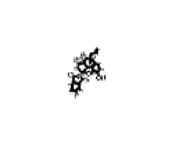 C=CCN1CC[C@]23c4c5ccc(O)c4O[C@H]2[C@H](N2C(=O)c4ccc(F)cc4C2=O)CCC3(O)[C@H]1C5